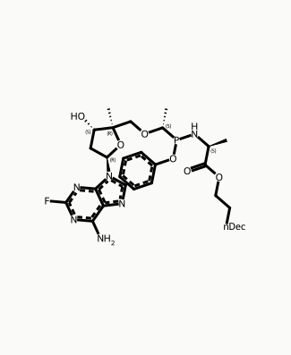 CCCCCCCCCCCCOC(=O)[C@H](C)NP(Oc1ccccc1)[C@@H](C)OC[C@@]1(C)O[C@@H](n2cnc3c(N)nc(F)nc32)C[C@@H]1O